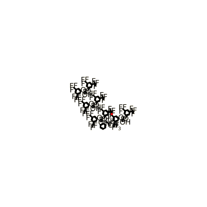 CN(C)c1ccccc1.OB(Oc1cc(C(F)(F)F)cc(C(F)(F)F)c1)Oc1cc(C(F)(F)F)cc(C(F)(F)F)c1.OB(Oc1cc(C(F)(F)F)cc(C(F)(F)F)c1)Oc1cc(C(F)(F)F)cc(C(F)(F)F)c1.OB(Oc1cc(C(F)(F)F)cc(C(F)(F)F)c1)Oc1cc(C(F)(F)F)cc(C(F)(F)F)c1.OB(Oc1cc(C(F)(F)F)cc(C(F)(F)F)c1)Oc1cc(C(F)(F)F)cc(C(F)(F)F)c1